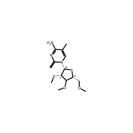 C=C1N=C(N)C(C)=CN1[C@@H]1S[C@H](COC)C(OC)[C@@H]1OC